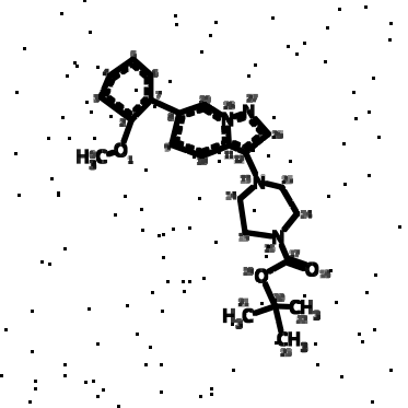 COc1ccccc1-c1ccc2c(N3CCN(C(=O)OC(C)(C)C)CC3)cnn2c1